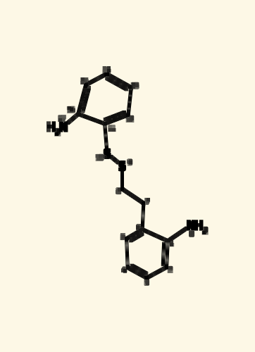 Nc1ccccc1CCSSc1ccccc1N